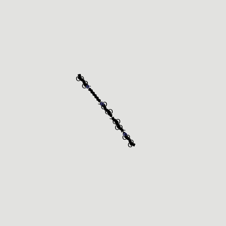 C#CC(=O)OCCCOC(=O)/C=C/SCCCCCCCCCCS/C=C/C(=O)OCCCOC(=O)C=CSCCCOC(=O)CCC(=O)OCCCS/C=C/C(=O)OCCCOC(=O)C#C